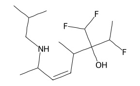 CC(C)CNC(C)/C=C\C(C)C(O)(C(C)F)C(F)F